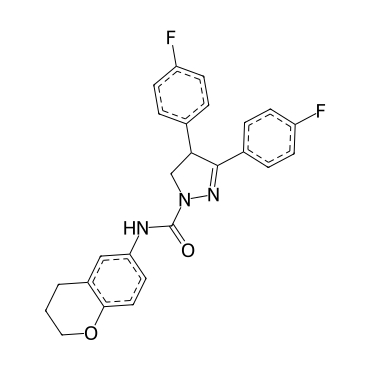 O=C(Nc1ccc2c(c1)CCCO2)N1CC(c2ccc(F)cc2)C(c2ccc(F)cc2)=N1